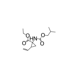 C=CC1CC1(NC(=O)OCC(C)C)C(=O)OCC